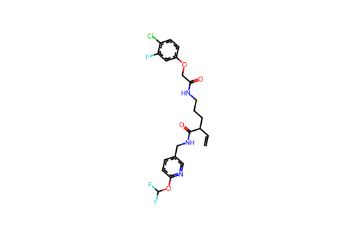 C=CC(CCCNC(=O)COc1ccc(Cl)c(F)c1)C(=O)NCc1ccc(OC(F)F)nc1